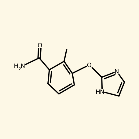 Cc1c(Oc2ncc[nH]2)cccc1C(N)=O